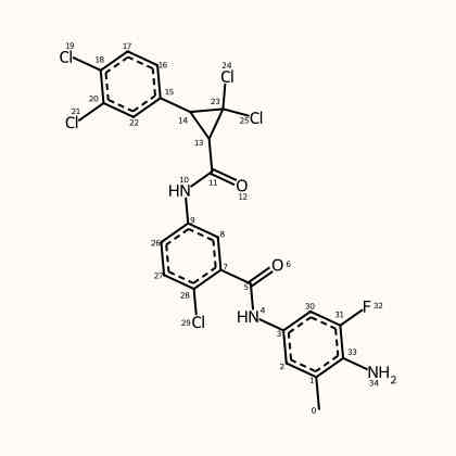 Cc1cc(NC(=O)c2cc(NC(=O)C3C(c4ccc(Cl)c(Cl)c4)C3(Cl)Cl)ccc2Cl)cc(F)c1N